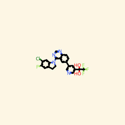 OC(O)(c1cncc(-c2ccc3ncnc(N4CCc5cc(F)c(Cl)cc54)c3c2)c1)C(F)(F)F